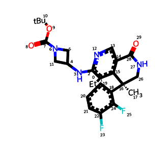 CCc1c(NC2CN(C(=O)OC(C)(C)C)C2)ncc2c1[C@](C)(c1cccc(F)c1F)CNC2=O